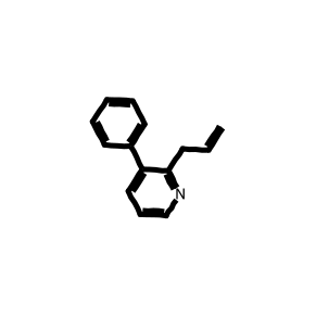 C=CCc1ncccc1-c1ccccc1